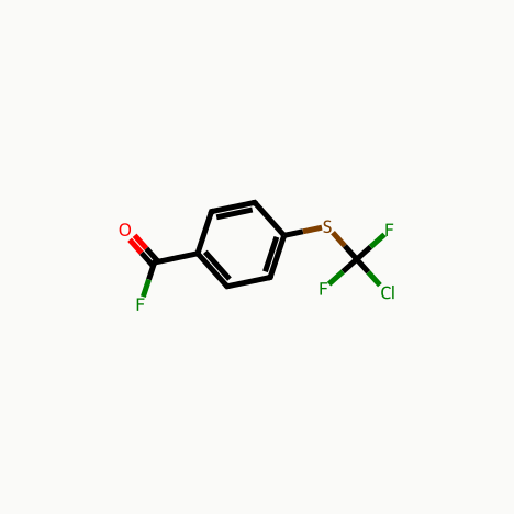 O=C(F)c1ccc(SC(F)(F)Cl)cc1